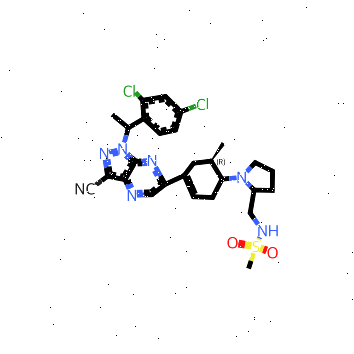 CC(c1ccc(Cl)cc1Cl)n1nc(C#N)c2ncc(C3=CCC(N4CCCC4CNS(C)(=O)=O)[C@H](C)C3)nc21